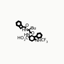 CCC(C)[C@H](NC(=O)C1Cc2ccccc21)C(=O)N[C@]1(C(=O)O)CCc2[nH]c3c(C(F)(F)F)cccc3c2C1